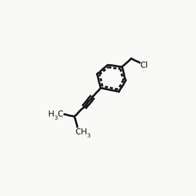 CC(C)C#Cc1ccc(CCl)cc1